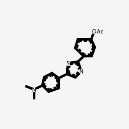 CC(=O)Oc1ccc(-c2ncc(-c3ccc(N(C)C)cc3)s2)cc1